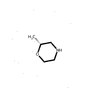 C[C@@H]1CNCCO1